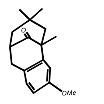 COc1ccc2c(c1)C1(C)CC(C)(C)CC(C2)C1=O